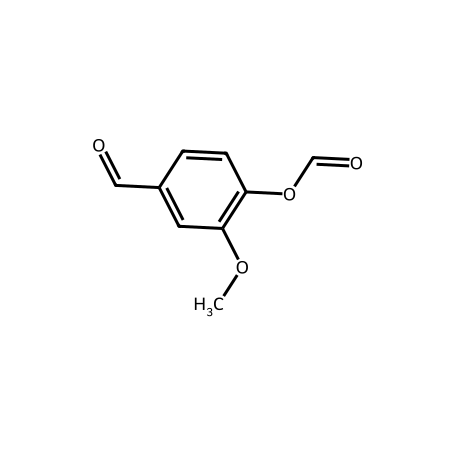 COc1cc(C=O)ccc1OC=O